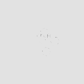 O=C(O)C(CC1CCCCC1)SC(c1ccccc1)(c1ccccc1)c1ccccc1